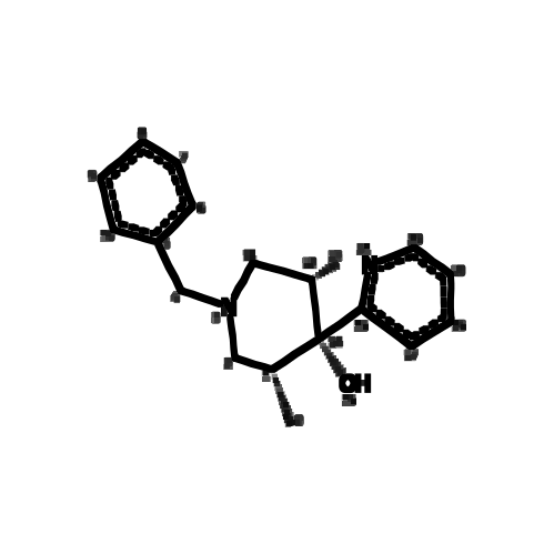 C[C@@H]1CN(Cc2ccccc2)C[C@H](C)[C@@]1(O)c1ccccn1